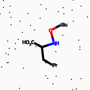 CC(C)CC(NOC(C)(C)C)C(=O)O